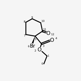 CCOC(=O)[C@]1(Br)CCCCC1=O